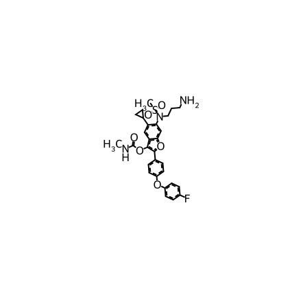 CNC(=O)Oc1c(-c2ccc(Oc3ccc(F)cc3)cc2)oc2cc(N(CCCN)S(C)(=O)=O)c(C3CC3)cc12